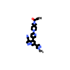 C#CC(=O)N1CC2(CCN(c3ccc(-c4cc(-c5cnn(C)c5)cn5ncc(C#N)c45)cn3)CC2)C1